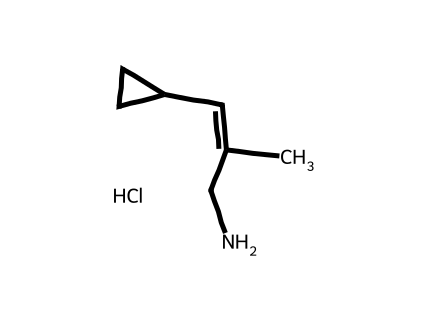 CC(=CC1CC1)CN.Cl